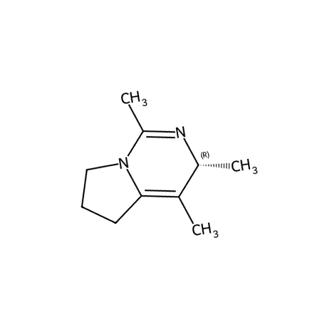 CC1=N[C@H](C)C(C)=C2CCCN12